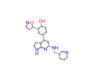 Oc1ccc(-c2cc(NCc3cccnc3)nc3[nH]ccc23)cc1-c1ccno1